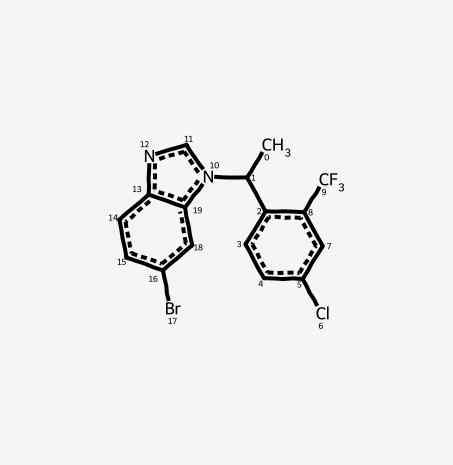 CC(c1ccc(Cl)cc1C(F)(F)F)n1cnc2ccc(Br)cc21